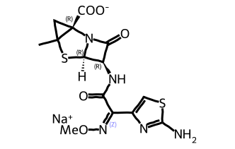 CO/N=C(\C(=O)N[C@@H]1C(=O)N2[C@@H]1SC1(C)C[C@]21C(=O)[O-])c1csc(N)n1.[Na+]